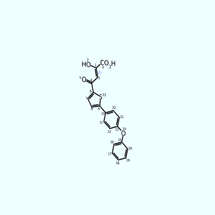 O=C(O)/C(O)=C/C(=O)c1ccc(-c2ccc(Oc3ccccc3)cc2)s1